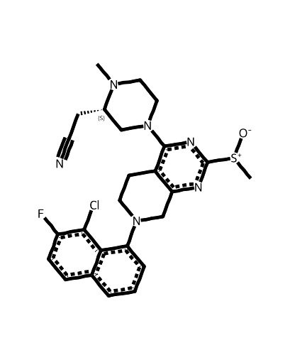 CN1CCN(c2nc([S+](C)[O-])nc3c2CCN(c2cccc4ccc(F)c(Cl)c24)C3)C[C@@H]1CC#N